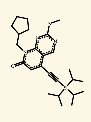 CSc1ncc2c(C#C[Si](C(C)C)(C(C)C)C(C)C)cc(=O)n(CC3CCCC3)c2n1